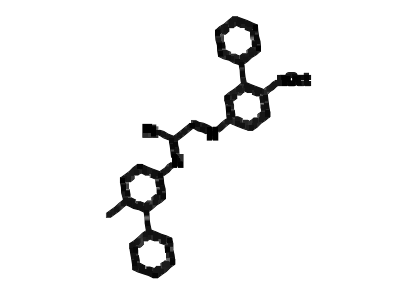 CCCCCCCCc1ccc(N=CC(CC)=Nc2ccc(C)c(-c3ccccc3)c2)cc1-c1ccccc1